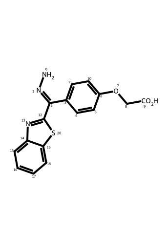 NN=C(c1ccc(OCC(=O)O)cc1)c1nc2ccccc2s1